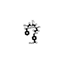 CNC(=O)c1ccc(CNC(=O)C(=O)[C@@H](NC(=O)[C@H](C)NC(=O)[C@@H](NC(=O)c2ccccc2)C(C)(C)C)C(C)C)cc1